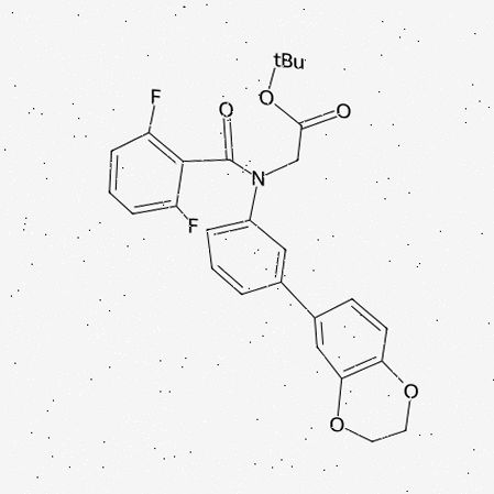 CC(C)(C)OC(=O)CN(C(=O)c1c(F)cccc1F)c1cccc(-c2ccc3c(c2)OCCO3)c1